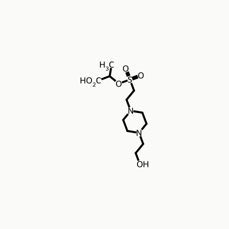 CC(OS(=O)(=O)CCN1CCN(CCO)CC1)C(=O)O